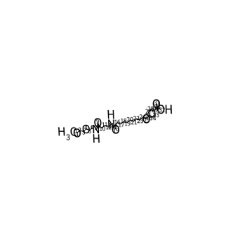 COCCOCCNC(=O)CCCNC(=O)CCCCCCCCCOc1ccc(C(=O)O)cc1